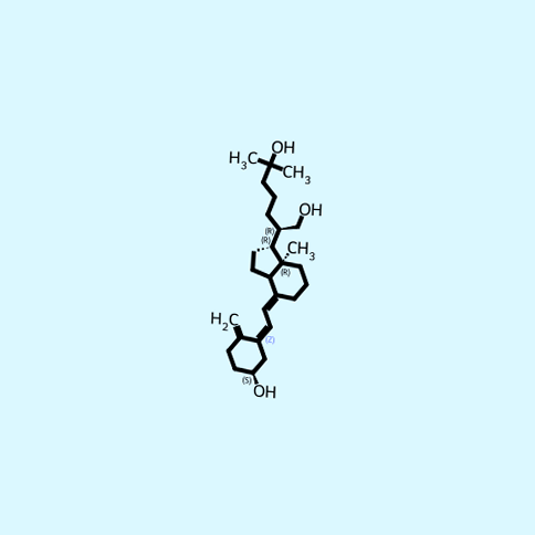 C=C1CC[C@H](O)C/C1=C/C=C1CCC[C@@]2(C)C1CC[C@@H]2[C@H](CO)CCCC(C)(C)O